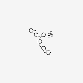 CS(=O)(=O)[O-].c1ccc([S+](c2ccc(Sc3ccc4c(c3)Cc3ccccc3-4)cc2)c2ccc3c(c2)Cc2ccccc2-3)cc1